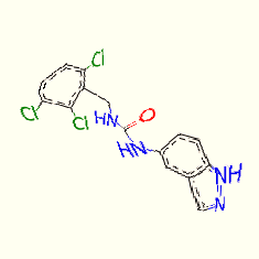 O=C(NCc1c(Cl)ccc(Cl)c1Cl)Nc1ccc2[nH]ncc2c1